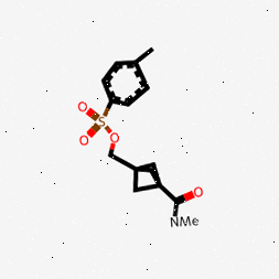 CNC(=O)C12CC(COS(=O)(=O)c3ccc(C)cc3)(C1)C2